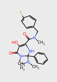 CN(Cc1ccc(F)cc1)C(=O)C1=C(O)C(=O)N(C)C(c2ccccc2)(N(C)C)N1